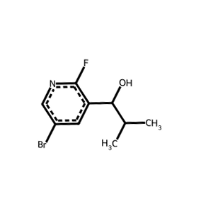 CC(C)C(O)c1cc(Br)cnc1F